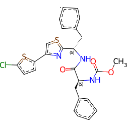 COC(=O)N[C@@H](Cc1ccccc1)C(=O)N[C@@H](Cc1cc[c]cc1)c1nc(-c2ccc(Cl)s2)cs1